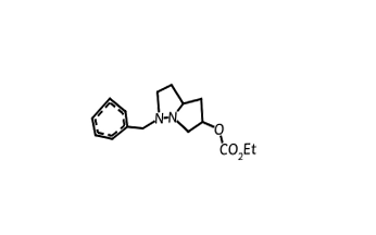 CCOC(=O)OC1CC2CCN(Cc3ccccc3)N2C1